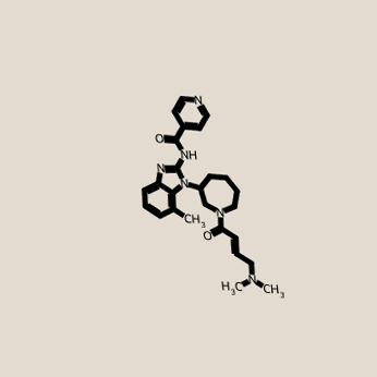 Cc1cccc2nc(NC(=O)c3ccncc3)n(C3CCCCN(C(=O)/C=C/CN(C)C)C3)c12